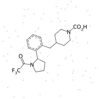 O=C(O)N1CCC(Cc2ccccc2C2CCCN2C(=O)C(F)(F)F)CC1